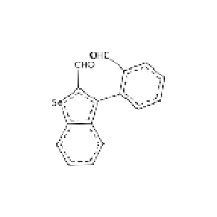 O=Cc1ccccc1-c1c(C=O)[se]c2ccccc12